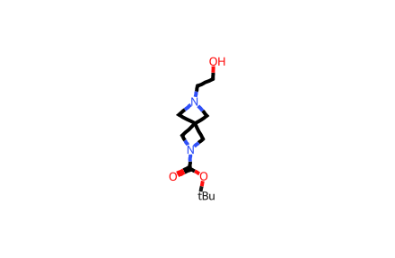 CC(C)(C)OC(=O)N1CC2(CN(CCO)C2)C1